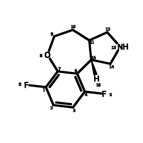 Fc1ccc(F)c2c1OCCC1CNC[C@H]21